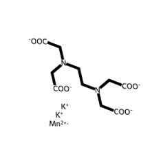 O=C([O-])CN(CCN(CC(=O)[O-])CC(=O)[O-])CC(=O)[O-].[K+].[K+].[Mn+2]